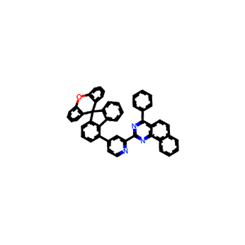 c1ccc(-c2nc(-c3cc(-c4cccc5c4-c4ccccc4C54c5ccccc5Oc5ccccc54)ccn3)nc3c2ccc2ccccc23)cc1